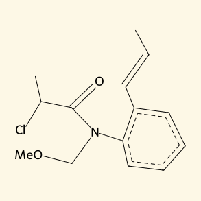 CC=Cc1ccccc1N(COC)C(=O)C(C)Cl